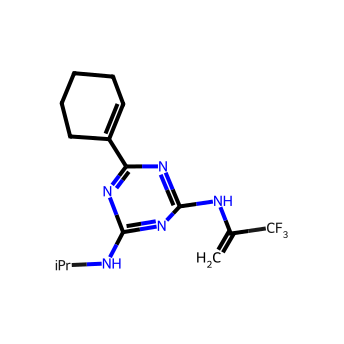 C=C(Nc1nc(NC(C)C)nc(C2=CCCCC2)n1)C(F)(F)F